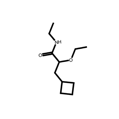 CCNC(=O)C(CC1CCC1)OCC